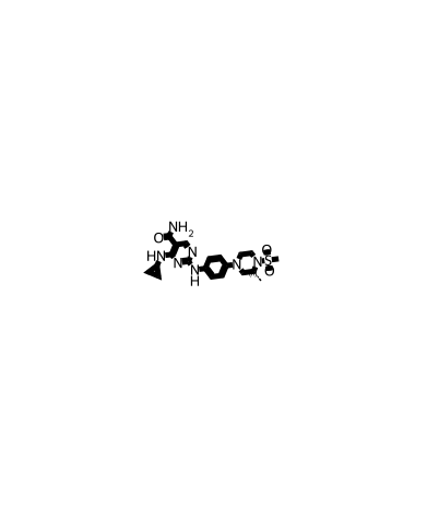 C[C@@H]1CN(c2ccc(Nc3ncc(C(N)=O)c(NC4CC4)n3)cc2)CCN1S(C)(=O)=O